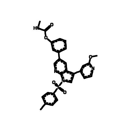 CNC(=O)Oc1cccc(-c2cnc3c(c2)c(-c2ccnc(OC)c2)cn3S(=O)(=O)c2ccc(C)cc2)c1